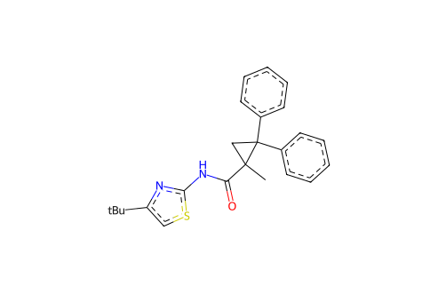 CC(C)(C)c1csc(NC(=O)C2(C)CC2(c2ccccc2)c2ccccc2)n1